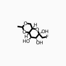 CC1OC[C@H]2O[C@@](O)(CF)[C@H](O)[C@@H](O)[C@@H]2O1